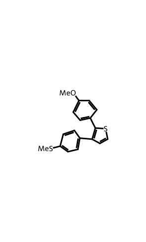 COc1ccc(-c2sccc2-c2ccc(SC)cc2)cc1